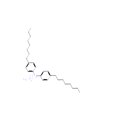 CCCCCCCCc1ccc(Nc2ccc(CCCCCCCC)cc2)cc1.N